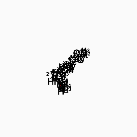 C=C(C)[C@@H]1CC[C@]2(NCCN3[C@@H]4CCC[C@H]3COC4)CC[C@]3(C)[C@H](CC[C@@H]4[C@@]5(C)CC=C(c6ccc(C(O)C(=O)c7ccccc7)cc6)C(C)(C)[C@@H]5CC[C@]43C)[C@@H]12